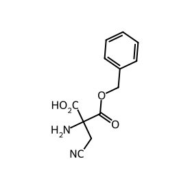 N#CCC(N)(C(=O)O)C(=O)OCc1ccccc1